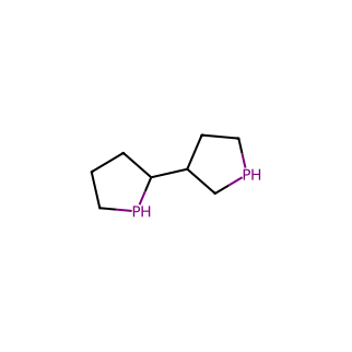 C1CPC(C2CCPC2)C1